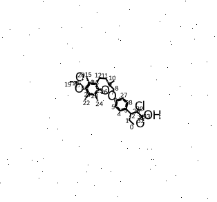 CCC(c1ccc(OCC2(C)CCc3c(C)c(OC(C)=O)c(C)c(C)c3O2)cc1)C(Cl)C(=O)O